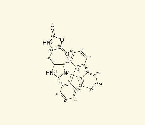 O=C1NC(CC2=CN(C(c3ccccc3)(c3ccccc3)c3ccccc3)CN2)C(=O)O1